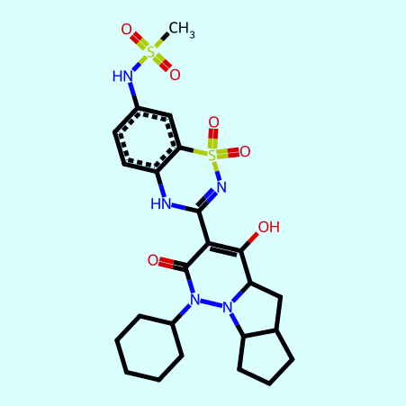 CS(=O)(=O)Nc1ccc2c(c1)S(=O)(=O)N=C(C1=C(O)C3CC4CCCC4N3N(C3CCCCC3)C1=O)N2